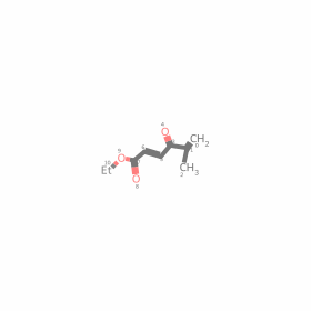 C=C(C)C(=O)C=CC(=O)OCC